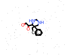 CCC1(c2ccccc2)CNCNC1C(=O)C=O